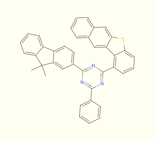 CC1(C)c2ccccc2-c2ccc(-c3nc(-c4ccccc4)nc(-c4cccc5sc6cc7ccccc7cc6c45)n3)cc21